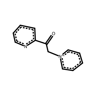 O=C(C[n+]1ccccc1)c1ccccn1